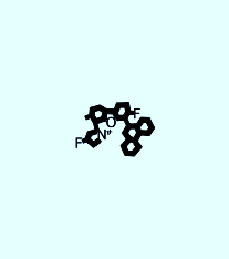 Cc1ccc2c(oc3c(-c4cc5ccccc5c5ccccc45)c(F)ccc32)c1-c1cc(F)cc[n+]1C